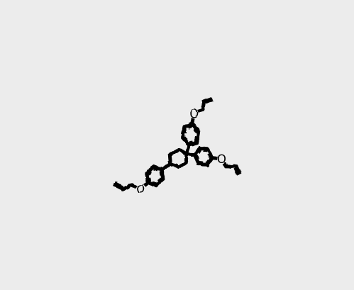 C=CCOc1ccc(C2CCC(c3ccc(OCC=C)cc3)(c3ccc(OCC=C)cc3)CC2)cc1